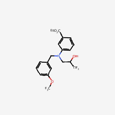 CCOC(=O)c1cccc(N(Cc2cccc(OC(F)(F)F)c2)CC(O)C(F)(F)F)c1